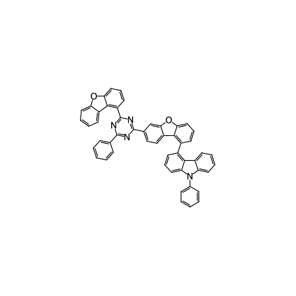 c1ccc(-c2nc(-c3ccc4c(c3)oc3cccc(-c5cccc6c5c5ccccc5n6-c5ccccc5)c34)nc(-c3cccc4oc5ccccc5c34)n2)cc1